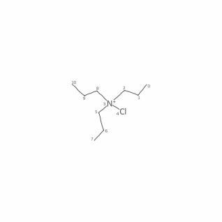 CCC[N+](Cl)(CCC)CCC